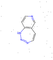 C1=Cc2cnccc2NN=N1